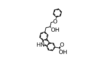 O=C(O)c1ccc2[nH]c3ccc(CC(O)COc4ccccc4)cc3c2c1